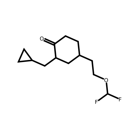 O=C1CCC(CCOC(F)F)CC1CC1CC1